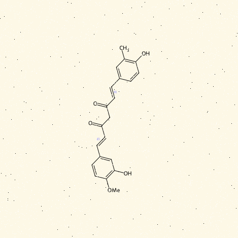 COc1ccc(/C=C/C(=O)CC(=O)/C=C/c2ccc(O)c(C)c2)cc1O